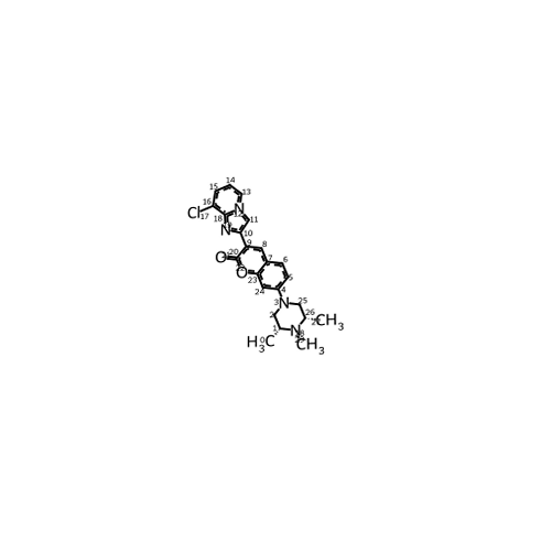 C[C@@H]1CN(c2ccc3cc(-c4cn5cccc(Cl)c5n4)c(=O)oc3c2)C[C@H](C)N1C